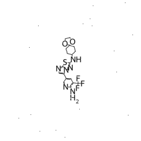 Nc1ncc(-c2cnc3sc(NC4CCC5(CC4)OCCO5)nn23)cc1C(F)(F)F